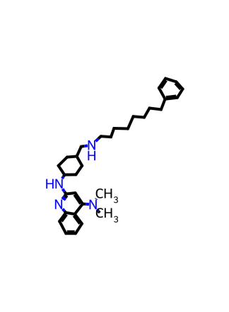 CN(C)c1cc(NC2CCC(CNCCCCCCCCc3ccccc3)CC2)nc2ccccc12